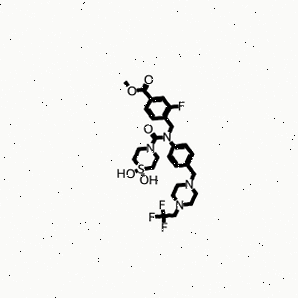 COC(=O)c1ccc(CN(C(=O)N2CCS(O)(O)CC2)c2ccc(CN3CCN(CC(F)(F)F)CC3)cc2)c(F)c1